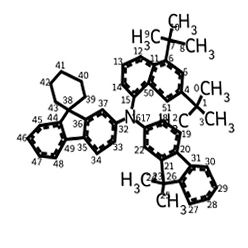 CC(C)(C)c1cc(C(C)(C)C)c2cccc(N(c3ccc4c(c3)C(C)(C)c3ccccc3-4)c3ccc4c(c3)C3(CCCCC3)c3ccccc3-4)c2c1